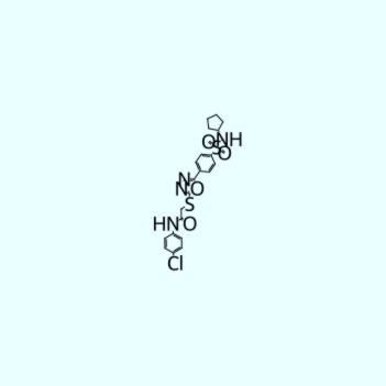 O=C(CSc1nnc(-c2ccc(S(=O)(=O)NC3CCCC3)cc2)o1)Nc1ccc(Cl)cc1